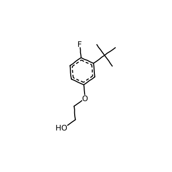 CC(C)(C)c1cc(OCCO)ccc1F